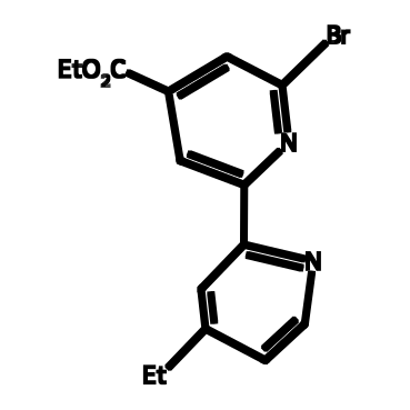 CCOC(=O)c1cc(Br)nc(-c2cc(CC)ccn2)c1